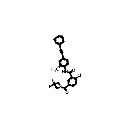 Cc1cc(C#Cc2ccccc2)ccc1NC(=O)c1cc(C(=O)N2CC(F)(F)C2)ccc1Cl